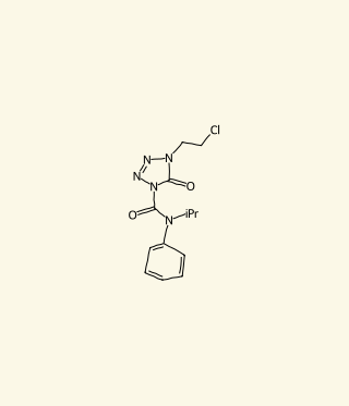 CC(C)N(C(=O)n1nnn(CCCl)c1=O)c1ccccc1